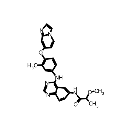 COC(C)C(=O)Nc1ccc2ncnc(Nc3ccc(Oc4ccn5ccnc5c4)c(C)c3)c2c1